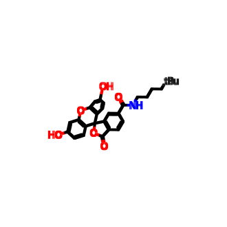 CC(C)(C)CCCCNC(=O)c1ccc2c(c1)C1(OC2=O)c2ccc(O)cc2Oc2cc(O)ccc21